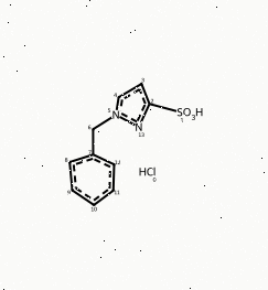 Cl.O=S(=O)(O)c1ccn(Cc2ccccc2)n1